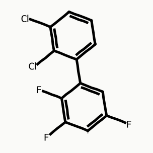 Fc1[c]c(F)c(F)c(-c2cccc(Cl)c2Cl)c1